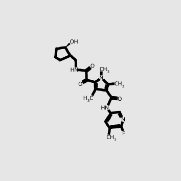 Cc1cc(NC(=O)c2c(C)c(C(=O)C(=O)NCC3CCC[C@H]3O)n(C)c2C)cnc1F